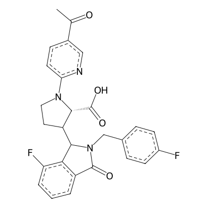 CC(=O)c1ccc(N2CCC(C3c4c(F)cccc4C(=O)N3Cc3ccc(F)cc3)[C@H]2C(=O)O)nc1